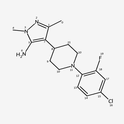 Cc1nn(C)c(N)c1C1CCN(c2ccc(Cl)cc2F)CC1